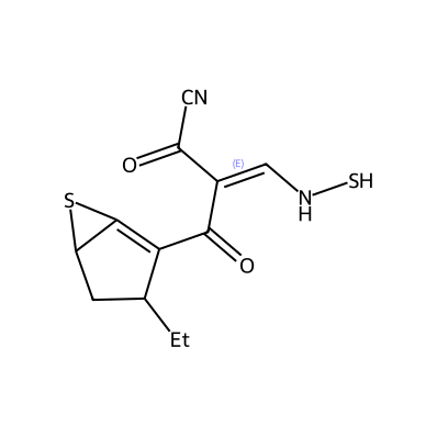 CCC1CC2SC2=C1C(=O)/C(=C\NS)C(=O)C#N